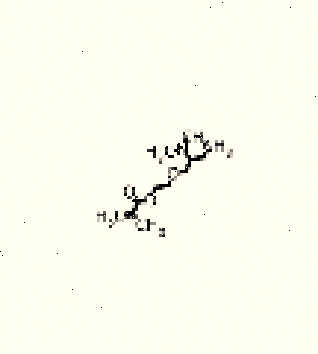 C=C(C)C(=O)OCCOCC(CC)N(C)C